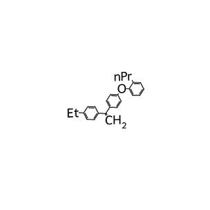 C=C(c1ccc(CC)cc1)c1ccc(Oc2ccccc2CCC)cc1